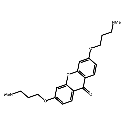 CNCCCOc1ccc2c(=O)c3ccc(OCCCNC)cc3oc2c1